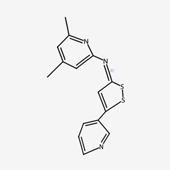 Cc1cc(C)nc(/N=c2\cc(-c3cccnc3)ss2)c1